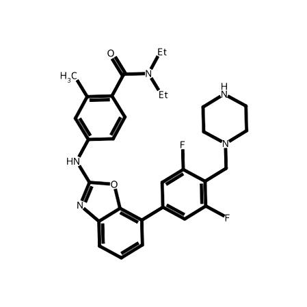 CCN(CC)C(=O)c1ccc(Nc2nc3cccc(-c4cc(F)c(CN5CCNCC5)c(F)c4)c3o2)cc1C